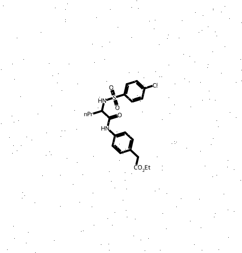 CCCC(NS(=O)(=O)c1ccc(Cl)cc1)C(=O)Nc1ccc(CC(=O)OCC)cc1